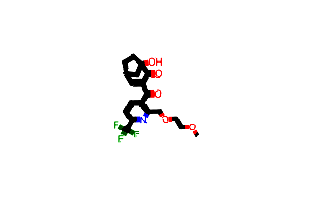 COCCOCc1nc(C(F)(F)F)ccc1C(=O)C1=CC2CCC(O)(C2)C1=O